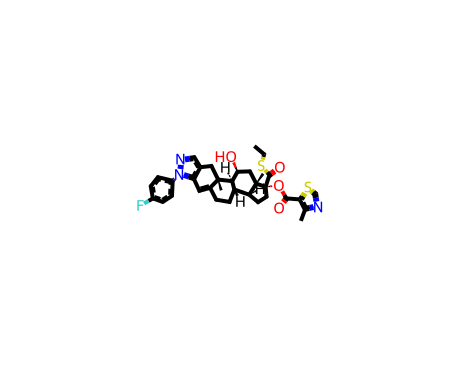 CCSC(=O)[C@@]1(OC(=O)c2scnc2C)CC[C@H]2[C@@H]3CCC4=Cc5c(cnn5-c5ccc(F)cc5)C[C@]4(C)[C@H]3[C@@H](O)C[C@@]21C